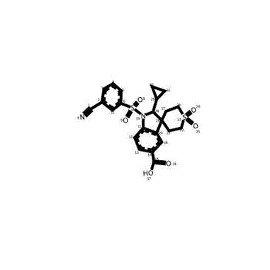 N#Cc1cccc(S(=O)(=O)N2c3ccc(C(=O)O)cc3C3(CCS(=O)(=O)CC3)C2C2CC2)c1